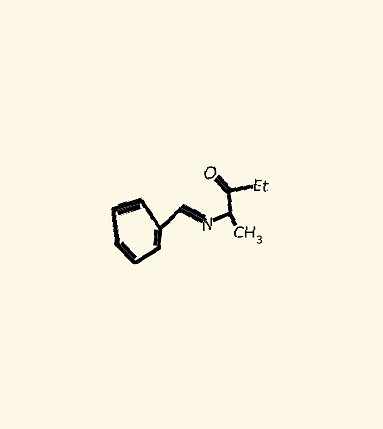 CCC(=O)C(C)N=Cc1ccccc1